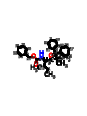 CC[C@H](C)[C@@H](CO[Si](c1ccccc1)(c1ccccc1)C(C)(C)C)NC(=O)OCc1ccccc1